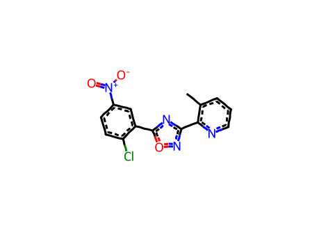 Cc1cccnc1-c1noc(-c2cc([N+](=O)[O-])ccc2Cl)n1